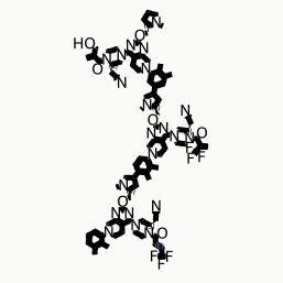 C=C(CO)C(=O)N1CCN(c2nc(OC[C@@H]3CCCN3C)nc3c2CCN(c2cc(C4C[C@@H](COc5nc6c(c(N7CCN(C(=O)C(=C)C(F)(F)F)[C@@H](CC#N)C7)n5)CCN(c5ccc(C7C[C@@H](COc8nc9c(c(N%10CCN(C(=O)/C=C/C(F)(F)F)[C@@H](CC#N)C%10)n8)CCN(c8cccc(C)c8C)C9)N(C)C7)c(C)c5C)C6)N(C)C4)cc(C)c2C)C3)C[C@@H]1CC#N